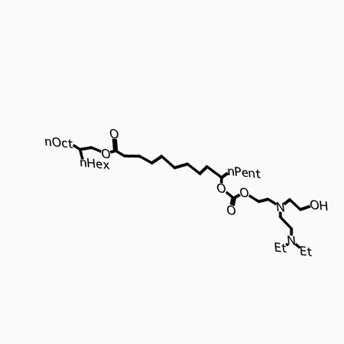 CCCCCCCCC(CCCCCC)COC(=O)CCCCCCCCC(CCCCC)OC(=O)OCCN(CCO)CCN(CC)CC